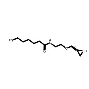 O=C(CCCCCS)NCCO/C=C1\CN1